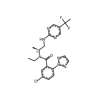 CCN(C(=O)c1cc(Cl)ccc1-n1nccn1)[C@@H](C)CNc1ncc(C(C)(F)F)cn1